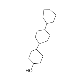 OC1CCC(C2CCC(C3CCCCC3)CC2)CC1